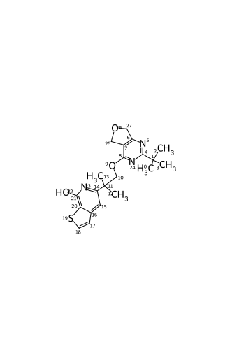 CC(C)(C)c1nc2c(c(OCC(C)(C)c3cc4ccsc4c(O)n3)n1)COC2